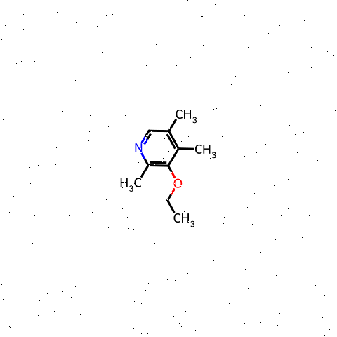 CCOc1c(C)ncc(C)c1C